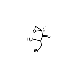 CC(C)CC(N)C(=O)[C@]1(C)CO1